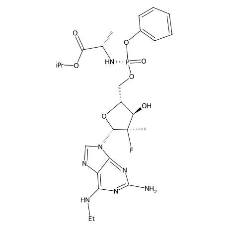 CCNc1nc(N)nc2c1ncn2[C@@H]1O[C@H](CO[P@@](=O)(N[C@@H](C)C(=O)OC(C)C)Oc2ccccc2)[C@@H](O)[C@@]1(C)F